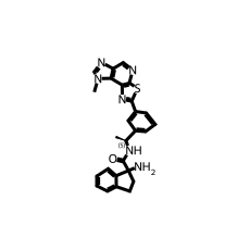 C[C@H](NC(=O)C1(N)CCc2ccccc21)c1cccc(-c2nc3c(ncc4ncn(C)c43)s2)c1